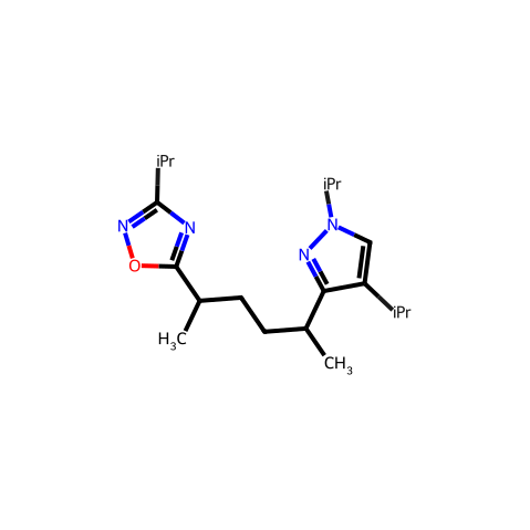 CC(C)c1noc(C(C)CCC(C)c2nn(C(C)C)cc2C(C)C)n1